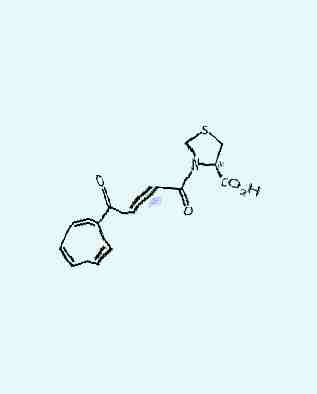 O=C(/C=C/C(=O)N1CSC[C@H]1C(=O)O)c1ccccc1